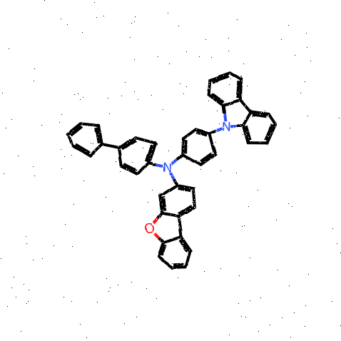 c1ccc(-c2ccc(N(c3ccc(-n4c5ccccc5c5ccccc54)cc3)c3ccc4c(c3)oc3ccccc34)cc2)cc1